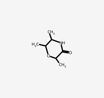 CC1OC(C)C(C)NC1=O